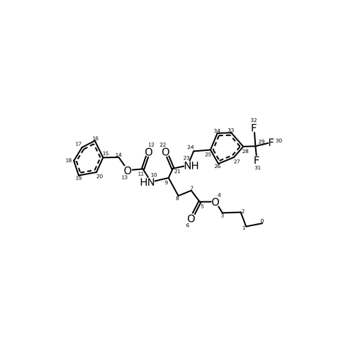 CCCCOC(=O)CCC(NC(=O)OCc1ccccc1)C(=O)NCc1ccc(C(F)(F)F)cc1